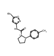 Cc1ccc(N2CCC[C@H]2C(=O)Nc2cc(C(C)(C)C)on2)cc1